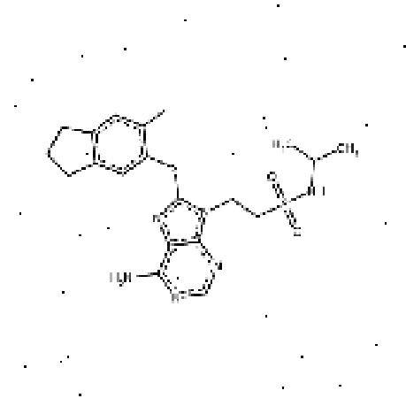 CC(C)NS(=O)(=O)CCn1c(Sc2cc3c(cc2I)CCC3)nc2c(N)ncnc21